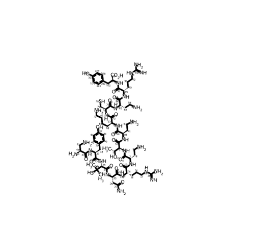 C[C@@H](O)[C@H](NC(=O)[C@H](CCN)NC(=O)[C@H](CCCNC(=N)N)NC(=O)[C@H](CC(N)=O)NC(=O)[C@@H](NC(=O)[C@H](Cc1ccc(O)cc1)NC(=O)[C@@H](N)CN)C(C)(C)S)C(=O)N[C@H](CCN)C(=O)N[C@@H](CCCCN)C(=O)N[C@@H](CS)C(=O)N[C@@H](CCN)C(=O)N[C@@H](CCCNC(=N)N)C(=O)N[C@@H](Cc1ccc(O)cc1)C(=O)O